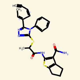 C#C/C=C\C(=C/C)c1nnc(SC(C)C(=O)Nc2sc3c(c2C(N)=O)CCC3)n1-c1ccccc1